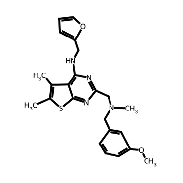 COc1cccc(CN(C)Cc2nc(NCc3ccco3)c3c(C)c(C)sc3n2)c1